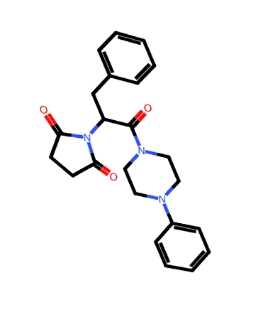 O=C(C(Cc1ccccc1)N1C(=O)CCC1=O)N1CCN(c2ccccc2)CC1